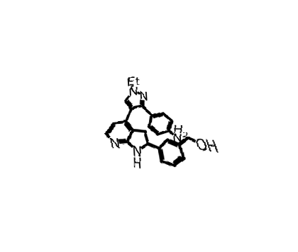 CCn1cc(-c2ccnc3c2CC(c2cccc(CO)c2)N3)c(-c2ccc(N)cc2)n1